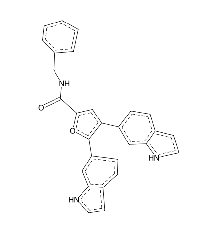 O=C(NCc1ccccc1)c1cc(-c2ccc3cc[nH]c3c2)c(-c2ccc3cc[nH]c3c2)o1